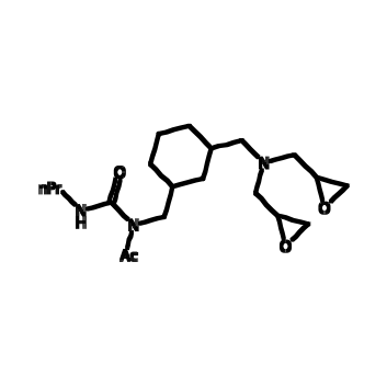 CCCNC(=O)N(CC1CCCC(CN(CC2CO2)CC2CO2)C1)C(C)=O